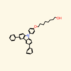 OCCCCCCCCOc1ccc(-n2c3ccc(-c4ccccc4)cc3c3cc(-c4ccccc4)ccc32)cc1